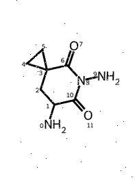 NC1CC2(CC2)C(=O)N(N)C1=O